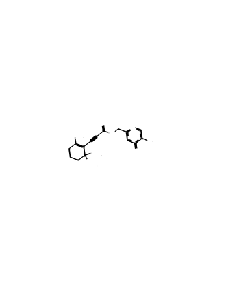 CC1=C(C#CC(=O)OCc2cc(=O)c(O)co2)C(C)(C)CCC1